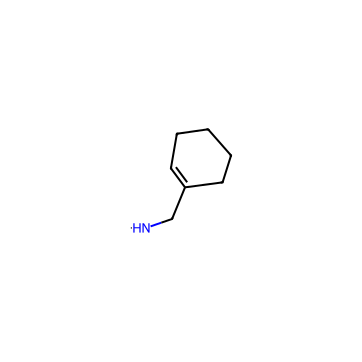 [NH]CC1=CCCCC1